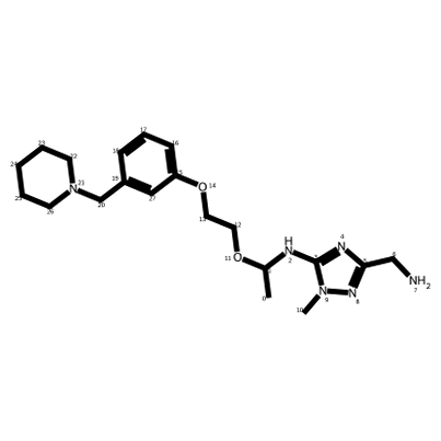 CC(Nc1nc(CN)nn1C)OCCOc1cccc(CN2CCCCC2)c1